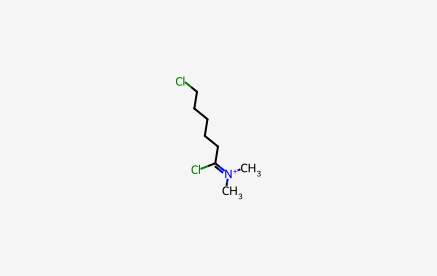 C[N+](C)=C(Cl)CCCCCCl